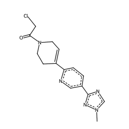 Cn1cnc(-c2ccc(C3=CCN(C(=O)CCl)CC3)nc2)n1